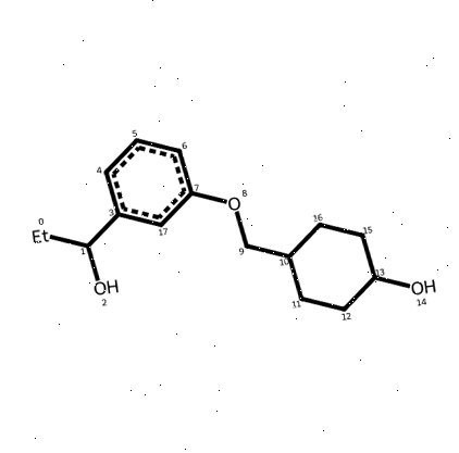 CCC(O)c1cccc(OCC2CCC(O)CC2)c1